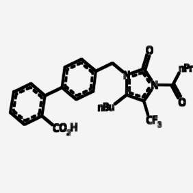 CCCCc1c(C(F)(F)F)n(C(=O)CCC)c(=O)n1Cc1ccc(-c2ccccc2C(=O)O)cc1